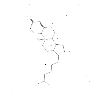 CC(C)CCC[C@@H](C)[C@H]1CC[C@H]2[C@@H]3C[C@H](F)C4=CC(=O)CC[C@]4(C)[C@H]3CC[C@]12C